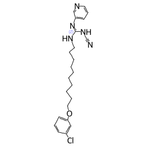 N#CN/C(=N\c1cccnc1)NCCCCCCCCCCOc1cccc(Cl)c1